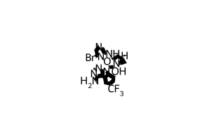 Nc1ncnc2c1c1cc(C(F)(F)F)ccc1n2CC(O)N1C2C[C@@H]2C[C@H]1C(=O)Nc1cncc(Br)n1